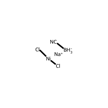 [BH3-]C#N.[Cl][Ni][Cl].[Na+]